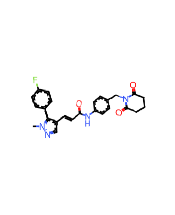 Cn1ncc(/C=C/C(=O)Nc2ccc(CN3C(=O)CCCC3=O)cc2)c1-c1ccc(F)cc1